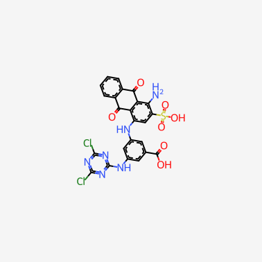 Nc1c(S(=O)(=O)O)cc(Nc2cc(Nc3nc(Cl)nc(Cl)n3)cc(C(=O)O)c2)c2c1C(=O)c1ccccc1C2=O